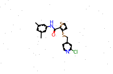 Cc1cc(C)cc(NC(=O)c2sccc2SCc2ccnc(Cl)c2)c1